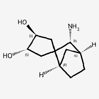 N[C@@H]1[C@H]2CC[C@H](C2)C12C[C@H](O)[C@@H](O)C2